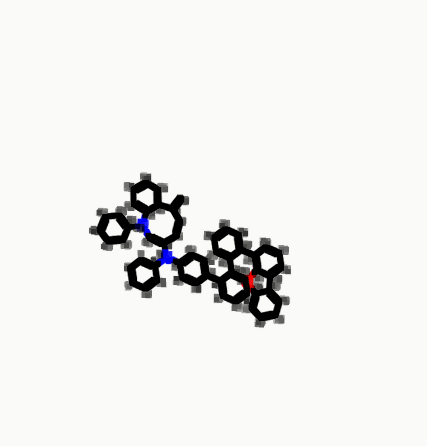 C=C1/C=C\C(N(c2ccccc2)c2ccc(-c3ccccc3-c3ccccc3-c3cccc4c3oc3ccccc34)cc2)=C/N(c2ccccc2)c2ccccc21